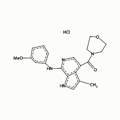 COc1cccc(Nc2ncc(C(=O)N3CCOCC3)c3c(C)c[nH]c23)c1.Cl